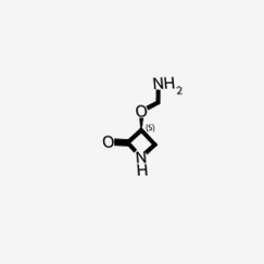 NCO[C@H]1CNC1=O